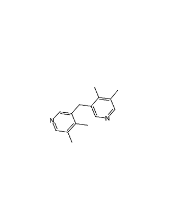 Cc1cncc(Cc2cncc(C)c2C)c1C